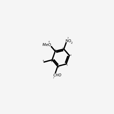 COc1c([N+](=O)[O-])ccc(C=O)c1C